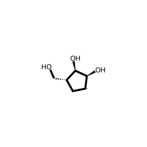 OC[C@H]1C[CH][C@H](O)[C@@H]1O